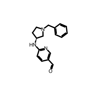 O=Cc1ccc(N[C@H]2CCN(Cc3ccccc3)C2)nc1